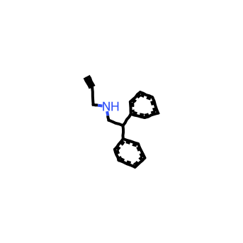 C#CCNCC(c1ccccc1)c1ccccc1